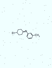 CCC1CCC(=Nc2cccc(C)c2)CC1